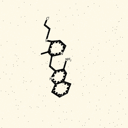 Cc1c(SCCCl)ccnc1Cc1nc2ccccc2cc1N